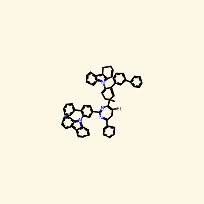 CCC1=C(C2(C)C=C(c3cccc(-c4ccccc4)c3)C(n3c4c(c5ccccc53)CCC=C4)=CC2)N=C(c2ccc(-c3ccccc3)c(-n3c4ccccc4c4ccccc43)c2)N=C(c2ccccc2)C1